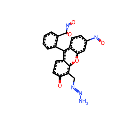 NN=NCc1c2oc3cc(N=O)ccc3c(-c3ccccc3C(=O)N=O)c-2ccc1=O